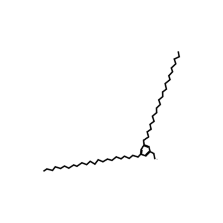 [CH2]Cc1cc(CCCCCCCCCCCCCCCCCCCCCCC)cc(CCCCCCCCCCCCCCCCCCCCCCC)c1